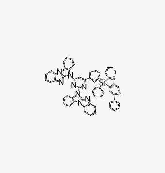 c1ccc(-c2cccc([Si](c3ccccc3)(c3ccccc3)c3cccc(-c4cc(-n5c6ccccc6n6c7ccccc7nc56)nc(-n5c6ccccc6n6c7ccccc7nc56)n4)c3)c2)cc1